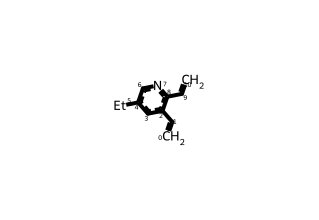 C=Cc1cc(CC)cnc1C=C